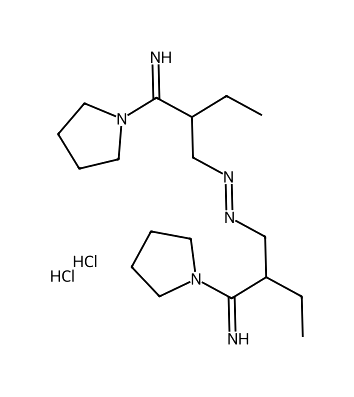 CCC(CN=NCC(CC)C(=N)N1CCCC1)C(=N)N1CCCC1.Cl.Cl